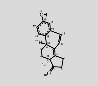 C[C@]12CC[C@H]3C(=C1CCC2=O)C=Cc1cc(O)ccc13